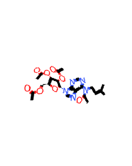 CC(=O)OC[C@H]1O[C@@H](n2cnc3c(N(CC=C(C)C)C(C)=O)ncnc32)[C@H](OC(C)=O)[C@@H]1OC(C)=O